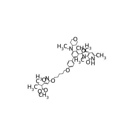 CCN(c1cc(-c2ccc(OCCCCCOc3cc(C(C(=O)OC)C(C)C)on3)cc2)cc(C(=O)N(C)c2c(C)cc(C)[nH]c2=O)c1C)C1CCOCC1